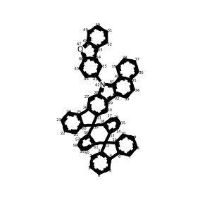 c1ccc2c(c1)-c1ccccc1C21c2ccccc2C2(c3ccccc3-c3cc4c(cc32)c2ccc3ccccc3c2n4-c2ccc3oc4ccccc4c3c2)c2ccccc21